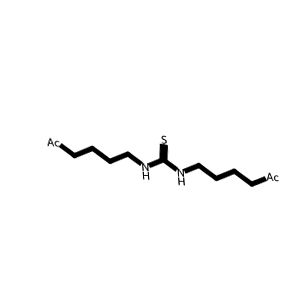 CC(=O)CCCCNC(=S)NCCCCC(C)=O